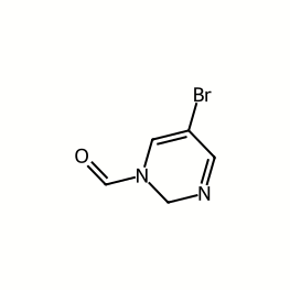 O=CN1C=C(Br)C=NC1